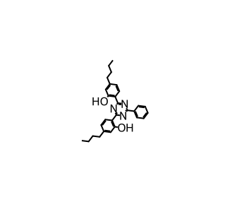 CCCCc1ccc(-c2nc(-c3ccccc3)nc(-c3ccc(CCCC)cc3O)n2)c(O)c1